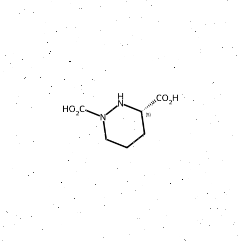 O=C(O)[C@@H]1CCCN(C(=O)O)N1